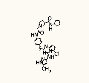 Cc1cc(Nc2nc(Sc3ccc(NC(=O)CN4CC[C@@H](C(=O)NC5CCCC5)C4)cc3)nc3ccc(Cl)n23)n[nH]1